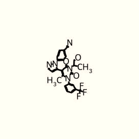 Cc1c(-c2ccnn2-c2ccc(C#N)cc2)c(=O)n(C(C)C=O)c(=O)n1-c1cccc(C(F)(F)F)c1